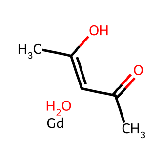 CC(=O)/C=C(/C)O.O.[Gd]